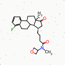 CN(C(=O)CCC[C@@H]1CC(=O)[C@@]2(C)CCC3c4cccc(F)c4CCC3C12)C1COC1